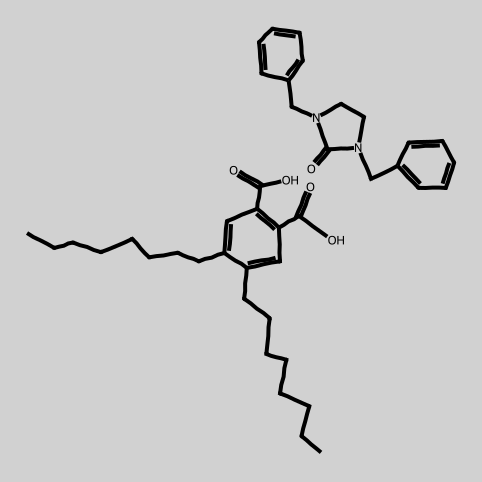 CCCCCCCCc1cc(C(=O)O)c(C(=O)O)cc1CCCCCCCC.O=C1N(Cc2ccccc2)CCN1Cc1ccccc1